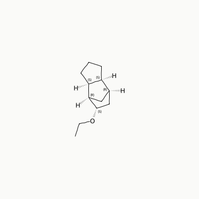 CCO[C@H]1C[C@H]2C[C@@H]1[C@H]1CCC[C@@H]21